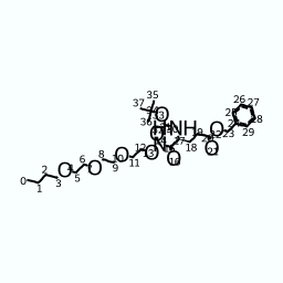 CCCCOCCOCCOCCONC(=O)[C@H](CCC(=O)OCc1ccccc1)NC(=O)OC(C)(C)C